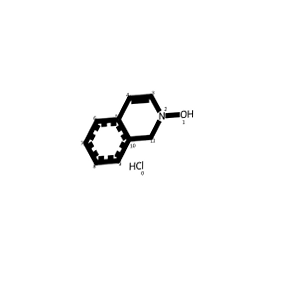 Cl.ON1C=Cc2ccccc2C1